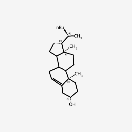 CCCC[C@@H](C)[C@H]1CCC2C3CC=C4C[C@@H](O)CC[C@]4(C)C3CC[C@@]21C